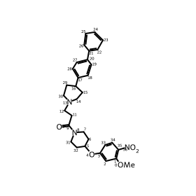 COc1cc(OC2CCN(C(=O)CCN3CCC(c4ccc(-c5ccccc5)cc4)CC3)CC2)ccc1[N+](=O)[O-]